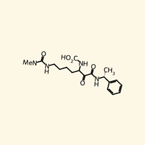 CNC(=O)NCCCCC(NC(=O)O)C(=O)C(=O)N[C@H](C)c1ccccc1